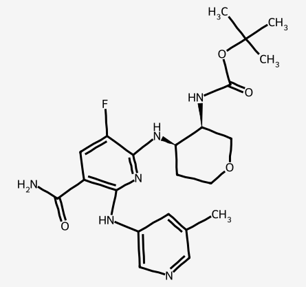 Cc1cncc(Nc2nc(N[C@@H]3CCOC[C@@H]3NC(=O)OC(C)(C)C)c(F)cc2C(N)=O)c1